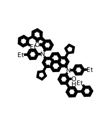 CCc1ccc(N(c2cccc(-c3cccc(-c4ccccc4CC)c3)c2O)c2cc(C3CCCC3)c3ccc4c(N(c5ccc(CC)cc5)c5cccc6c5oc5c(-c7ccccc7CC)cccc56)cc(C5CCCC5)c5ccc2c3c54)cc1